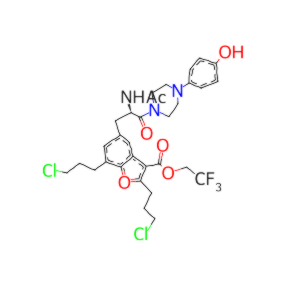 CC(=O)N[C@H](Cc1cc(CCCCl)c2oc(CCCCl)c(C(=O)OCC(F)(F)F)c2c1)C(=O)N1CCN(c2ccc(O)cc2)CC1